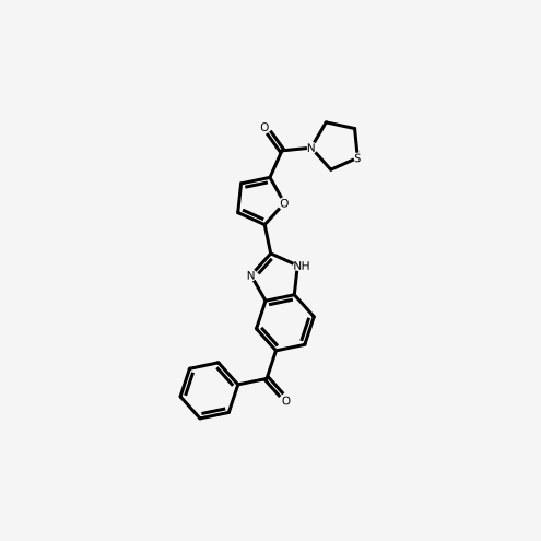 O=C(c1ccccc1)c1ccc2[nH]c(-c3ccc(C(=O)N4CCSC4)o3)nc2c1